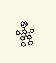 c1ccc(N2c3ccc(C4CCCCC4)cc3B3c4cc(C5CCCCC5)ccc4N(c4ccccc4)c4cc(C56CC7CCC8(C7)CC(C5)C8C6)cc2c43)cc1